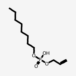 C=CCOP(=O)(O)OCCCCCCCC